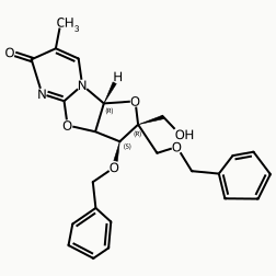 Cc1cn2c(nc1=O)OC1[C@H]2O[C@](CO)(COCc2ccccc2)[C@H]1OCc1ccccc1